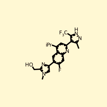 Cc1n[nH]c(C(F)(F)F)c1-c1cc(C(C)C)c2cc(-c3cn(C)c(CO)n3)c(F)cc2n1